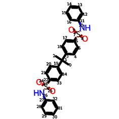 CC(C)(c1ccc(S(=O)(=O)Nc2ccccc2)cc1)c1ccc(S(=O)(=O)Nc2ccccc2)cc1